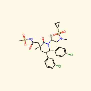 CC[C@@H](CN(C)S(=O)(=O)C1CC1)N1C(=O)[C@@](C)(CC(=O)NS(C)(=O)=O)C[C@H](c2cccc(Cl)c2)[C@H]1c1ccc(Cl)cc1